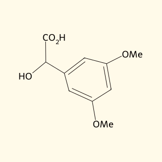 COc1cc(OC)cc(C(O)C(=O)O)c1